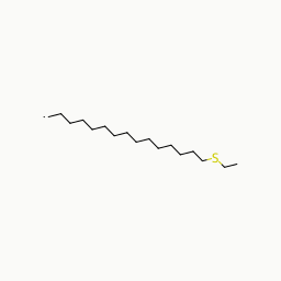 [CH2]CCCCCCCCCCCCCCSCC